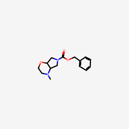 CN1CCOC2CN(C(=O)OCc3ccccc3)CC21